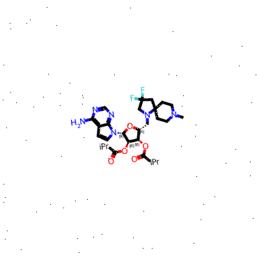 CC(C)C(=O)O[C@@H]1[C@H](OC(=O)C(C)C)[C@@H](CN2CC(F)(F)CC23CCN(C)CC3)O[C@H]1n1ccc2c(N)ncnc21